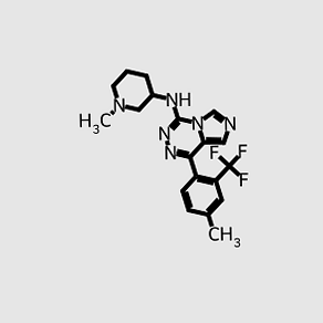 Cc1ccc(-c2nnc(NC3CCCN(C)C3)n3cncc23)c(C(F)(F)F)c1